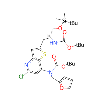 CC(C)(C)OC(=O)N[C@@H](CO[Si](C)(C)C(C)(C)C)Cc1cc2nc(Cl)cc(N(Cc3ccco3)C(=O)OC(C)(C)C)c2s1